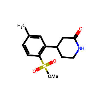 COS(=O)(=O)c1ccc(C)cc1C1CCNC(=O)C1